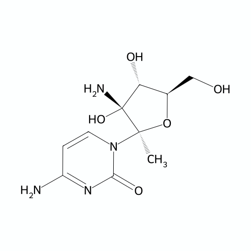 C[C@@]1(n2ccc(N)nc2=O)O[C@H](CO)[C@@H](O)[C@@]1(N)O